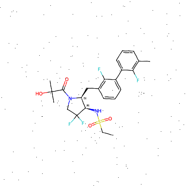 CCS(=O)(=O)N[C@@H]1[C@H](Cc2cccc(-c3cccc(C)c3F)c2F)N(C(=O)C(C)(C)O)CC1(F)F